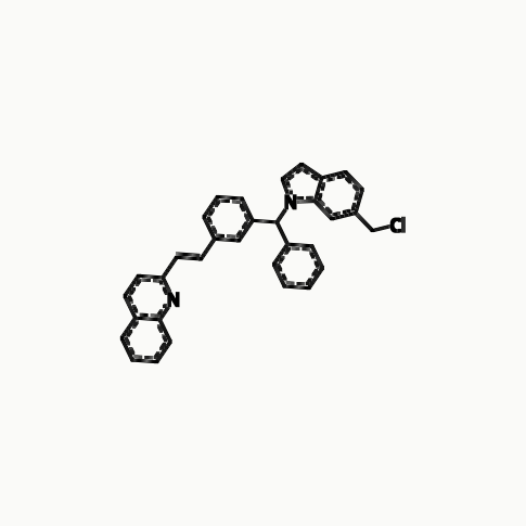 ClCc1ccc2ccn(C(c3ccccc3)c3cccc(C=Cc4ccc5ccccc5n4)c3)c2c1